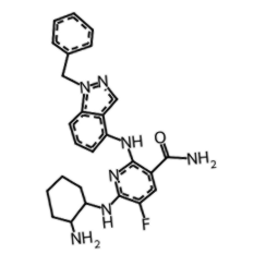 NC(=O)c1cc(F)c(NC2CCCCC2N)nc1Nc1cccc2c1cnn2Cc1ccccc1